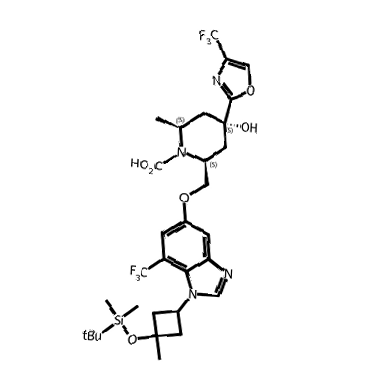 C[C@H]1C[C@@](O)(c2nc(C(F)(F)F)co2)C[C@@H](COc2cc(C(F)(F)F)c3c(c2)ncn3C2CC(C)(O[Si](C)(C)C(C)(C)C)C2)N1C(=O)O